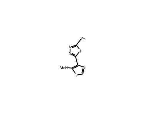 CNc1scnc1-c1nnc(C(C)C)s1